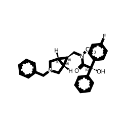 CN(C[C@H]1[C@@H]2CN(Cc3ccccc3)C[C@@H]21)C(=O)[C@](O)(c1ccccc1)c1ccc(F)cc1